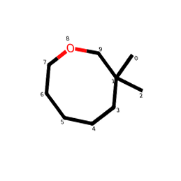 CC1(C)CCCCCOC1